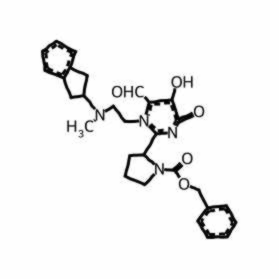 CN(CCn1c(C2CCCN2C(=O)OCc2ccccc2)nc(=O)c(O)c1C=O)C1Cc2ccccc2C1